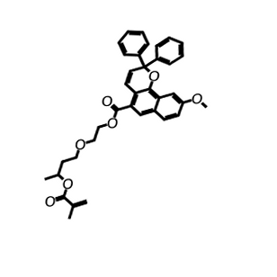 C=C(C)C(=O)OC(C)CCOCCOC(=O)c1cc2ccc(OC)cc2c2c1C=CC(c1ccccc1)(c1ccccc1)O2